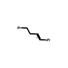 [CH2]CC/C=C/CCC(C)C